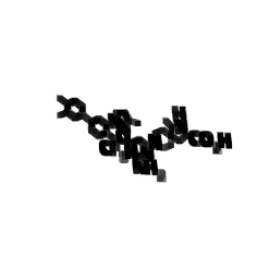 Cc1ccn(-c2cc(-c3ccc(C)c(C)c3)ccc2[C@@H](Oc2cc(N3CCC4(CC3)CC(C(=O)O)NC4C)nc(N)n2)C(F)(F)F)n1